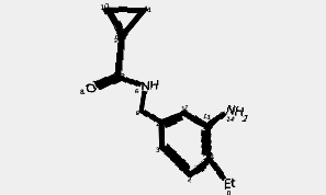 CCc1ccc(CNC(=O)C2CC2)cc1N